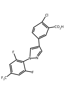 O=C(O)c1cc(-c2cnn(-c3c(F)cc(C(F)(F)F)cc3F)c2)ccc1Cl